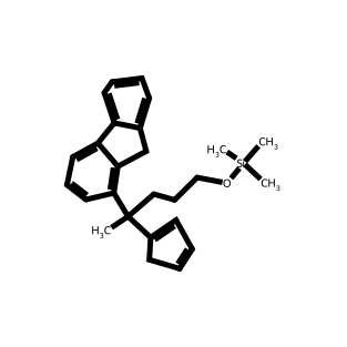 CC(CCCO[Si](C)(C)C)(C1=CC=CC1)c1cccc2c1Cc1ccccc1-2